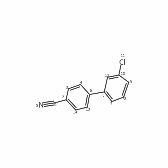 N#Cc1ccc(-c2c[c]cc(Cl)c2)cc1